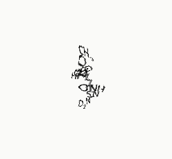 Cc1ccc(S(=O)(=O)NCCCC(=O)Nc2ncc([N+](=O)[O-])s2)cc1